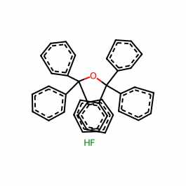 F.c1ccc(C(OC(c2ccccc2)(c2ccccc2)c2ccccc2)(c2ccccc2)c2ccccc2)cc1